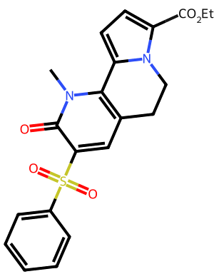 CCOC(=O)c1ccc2n1CCc1cc(S(=O)(=O)c3ccccc3)c(=O)n(C)c1-2